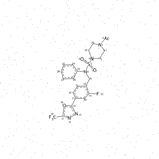 CC(=O)N1CCN(S(=O)(=O)N(Cc2ccc(-c3nnc(C(F)(F)F)o3)cc2F)c2ccccc2)CC1